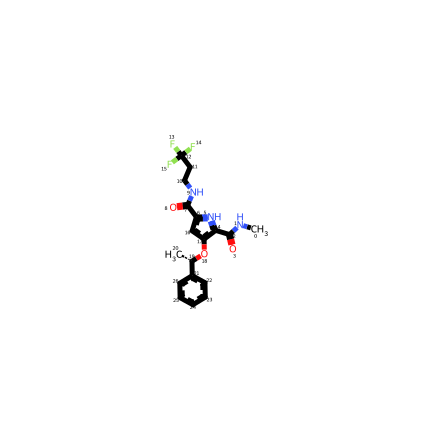 CNC(=O)c1[nH]c(C(=O)NCCC(F)(F)F)cc1O[C@@H](C)c1ccccc1